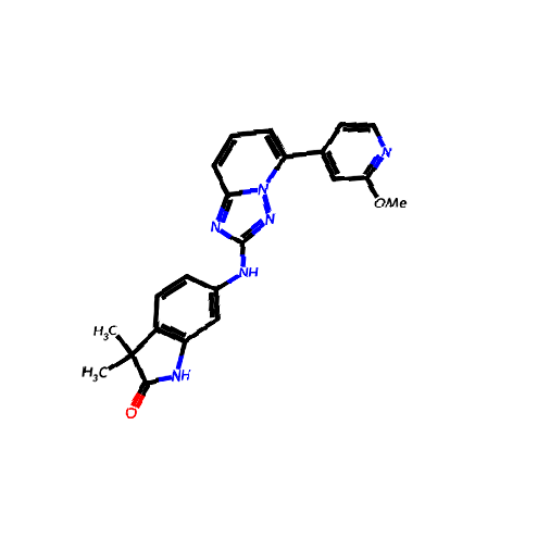 COc1cc(-c2cccc3nc(Nc4ccc5c(c4)NC(=O)C5(C)C)nn23)ccn1